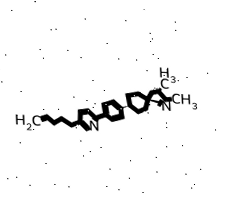 C=CCCCc1ccc(-c2ccc([C@H]3CC[C@@](C#N)(C[C@@H](C)CC)CC3)cc2)nc1